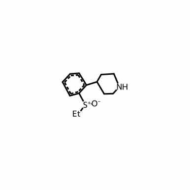 CC[S+]([O-])c1ccccc1C1CCNCC1